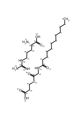 CCCCCCCCCCCC(=O)NCC(=O)OCCC(=O)O.N=C(N)NCCC[C@H](N)C(=O)O